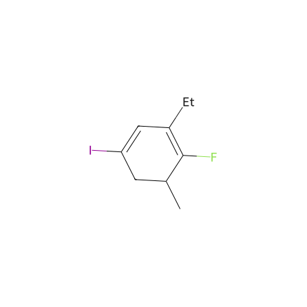 CCC1=C(F)C(C)CC(I)=C1